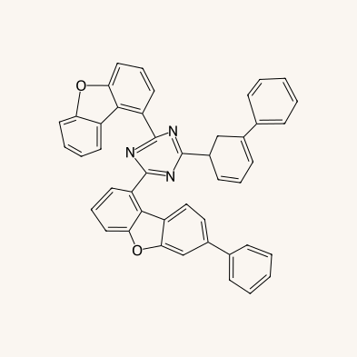 C1=CC(c2nc(-c3cccc4oc5ccccc5c34)nc(-c3cccc4oc5cc(-c6ccccc6)ccc5c34)n2)CC(c2ccccc2)=C1